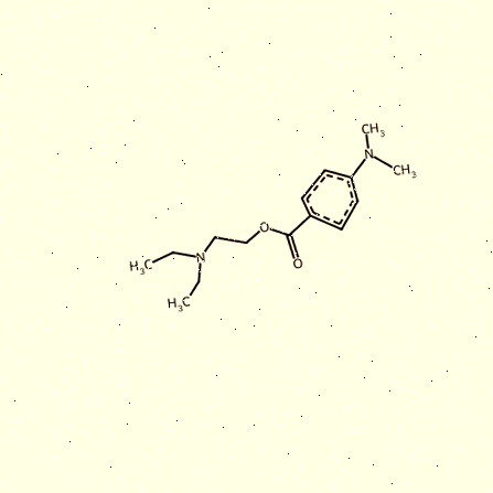 CCN(CC)CCOC(=O)c1ccc(N(C)C)cc1